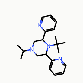 CC(C)N1CC(c2ccccn2)N(C(C)(C)C)C(c2ccccn2)C1